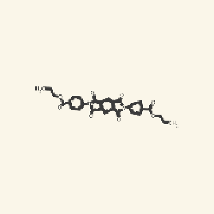 C=CCOC(=O)c1ccc(-n2c(=O)c3cc4c(=O)n(-c5ccc(C(=O)OCC=C)cc5)c(=O)c4cc3c2=O)cc1